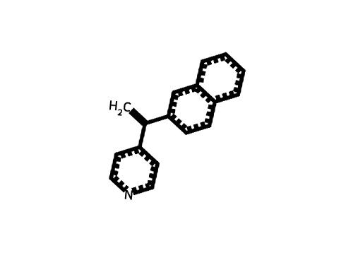 C=C(c1ccncc1)c1ccc2ccccc2c1